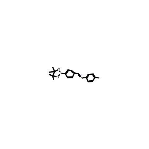 CC1(C)OB(c2ccc(/C=N/c3ccc(F)cc3)cc2)OC1(C)C